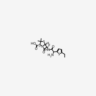 CCc1ccc(C(N)C(=O)N[C@@]2(F)C(=O)N3[C@@H](C(=O)O)C(C)(C)S[C@@H]32)s1